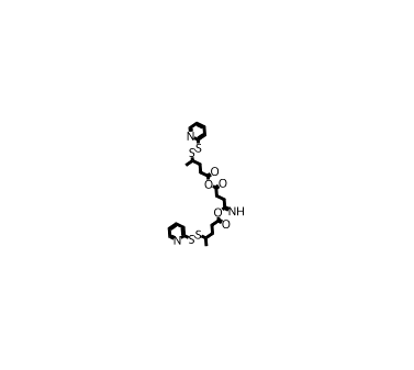 CC(CCC(=O)OC(=N)CCC(=O)OC(=O)CCC(C)SSc1ccccn1)SSc1ccccn1